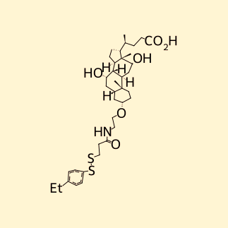 CCc1ccc(SSCCC(=O)NCCO[C@H]2CC[C@]3(C)[C@H](C2)C[C@H](O)[C@H]2[C@H]3C[C@@H](O)[C@]3(C)[C@@H]2CC[C@@H]3[C@@H](C)CCC(=O)O)cc1